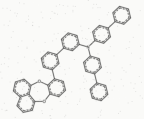 c1ccc(-c2ccc(N(c3ccc(-c4ccccc4)cc3)c3cccc(-c4cccc(-c5cccc6c5Oc5cccc7cccc(c57)O6)c4)c3)cc2)cc1